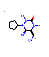 CCN1C(=O)N(C)/C(=C/N)C(=N)N1C1CCCC1